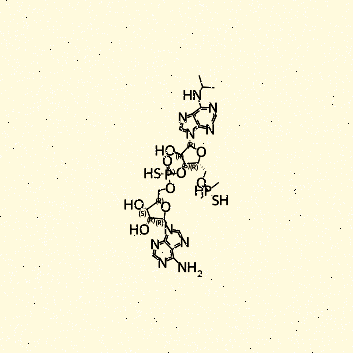 CC(C)Nc1ncnc2c1ncn2[C@@H]1O[C@H](CO[PH](C)(C)S)[C@@H](O[P@@](=O)(S)OC[C@H]2O[C@@H](n3cnc4c(N)ncnc43)[C@H](O)[C@@H]2O)[C@H]1O